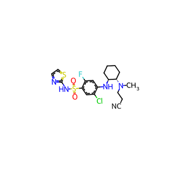 CN(CCC#N)[C@H]1CCCC[C@@H]1Nc1cc(F)c(S(=O)(=O)Nc2nccs2)cc1Cl